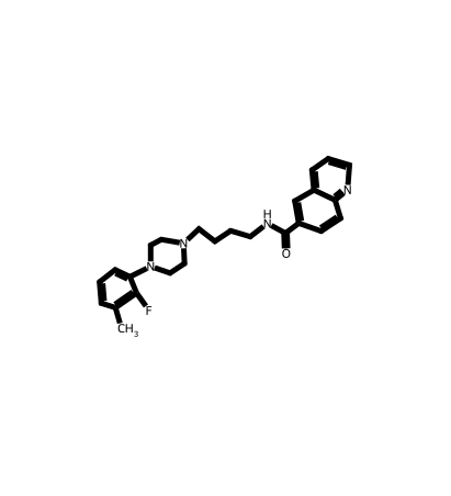 Cc1cccc(N2CCN(CCCCNC(=O)c3ccc4ncccc4c3)CC2)c1F